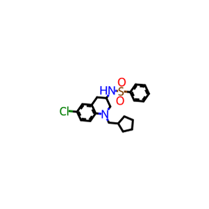 O=S(=O)(NC1Cc2cc(Cl)ccc2N(CC2CCCC2)C1)c1ccccc1